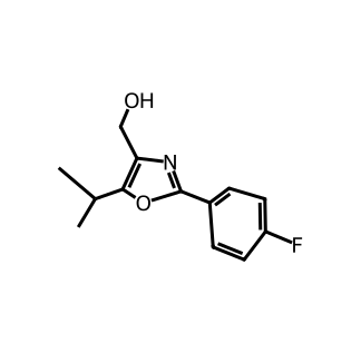 CC(C)c1oc(-c2ccc(F)cc2)nc1CO